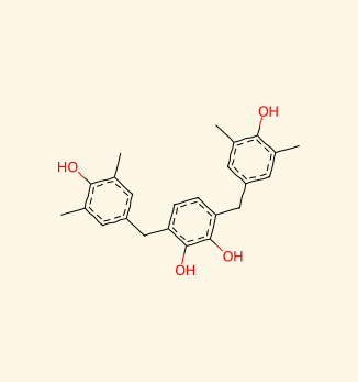 Cc1cc(Cc2ccc(Cc3cc(C)c(O)c(C)c3)c(O)c2O)cc(C)c1O